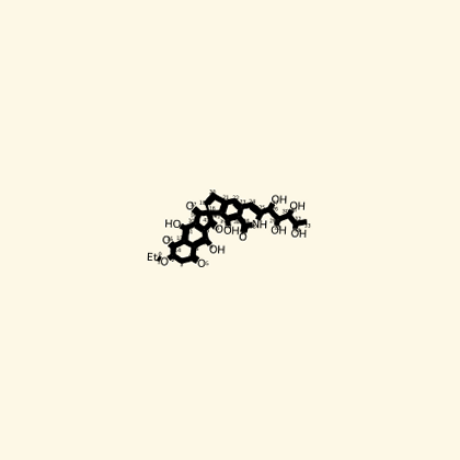 CCOC1CC(=O)c2c(O)c3c(c(O)c2C1=O)C(=O)[C@@]1(C=Cc2cc4cc(C(O)C(O)C(O)C(C)O)[nH]c(=O)c4c(O)c21)C3=O